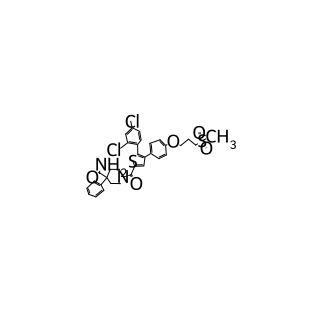 CS(=O)(=O)CCCOc1ccc(-c2cc(C(=O)N3CCC(C(N)=O)(c4ccccc4)CC3)sc2-c2ccc(Cl)cc2Cl)cc1